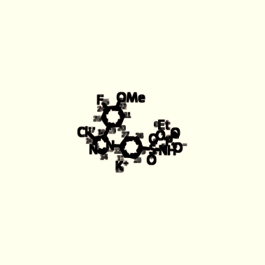 CCOP(=O)([O-])NS(=O)(=O)c1ccc(-n2cnc(Cl)c2-c2ccc(OC)c(F)c2)cc1.[K+]